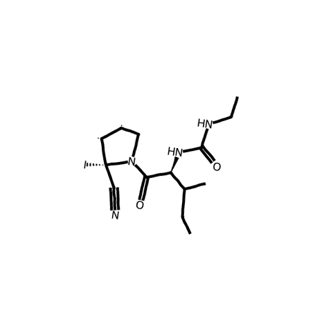 CCNC(=O)N[C@H](C(=O)N1C[CH][CH][C@]1(I)C#N)C(C)CC